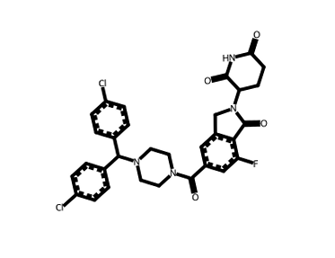 O=C1CCC(N2Cc3cc(C(=O)N4CCN(C(c5ccc(Cl)cc5)c5ccc(Cl)cc5)CC4)cc(F)c3C2=O)C(=O)N1